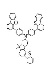 CC1(C)C2=C(C3=C(CC2)C2CCC=CC2S3)C2C=CC(N(C3=CC=C(C4=CCCC5c6ccccc6SC45)CC3)c3ccc(-c4cccc5c4oc4ccccc45)cc3)CC21